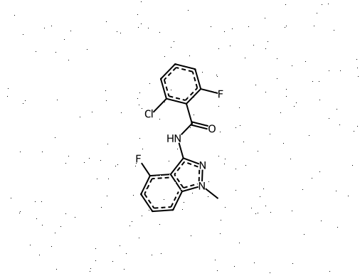 Cn1nc(NC(=O)c2c(F)cccc2Cl)c2c(F)cccc21